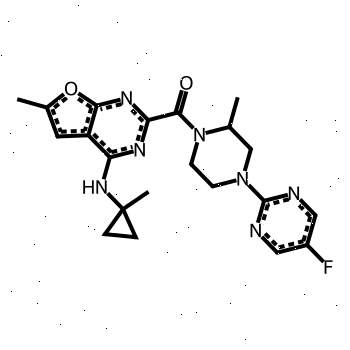 Cc1cc2c(NC3(C)CC3)nc(C(=O)N3CCN(c4ncc(F)cn4)CC3C)nc2o1